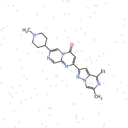 CCc1nc(C)cn2nc(-c3cc(=O)n4cc(C5CCN(C)CC5)ncc4n3)cc12